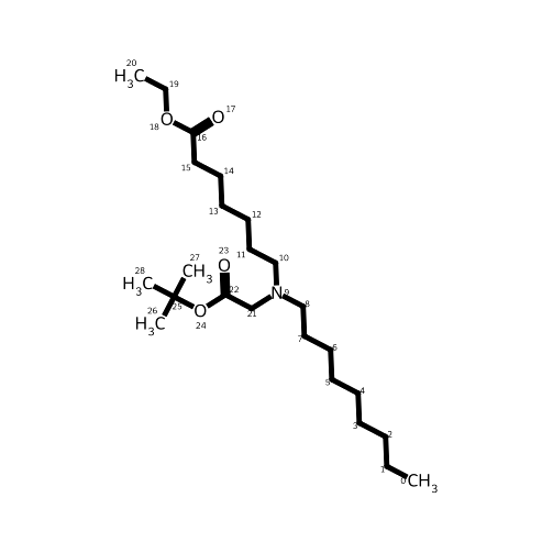 CCCCCCCCCN(CCCCCCC(=O)OCC)CC(=O)OC(C)(C)C